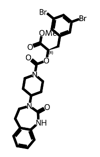 COC(=O)[C@@H](Cc1cc(Br)cc(Br)c1)OC(=O)N1CCC(N2CCc3ccccc3NC2=O)CC1